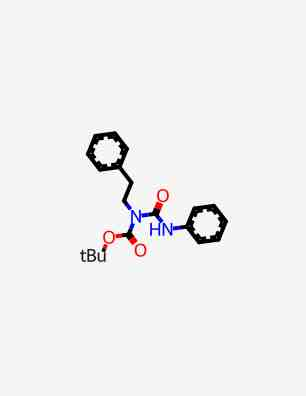 CC(C)(C)OC(=O)N(CCc1ccccc1)C(=O)Nc1ccccc1